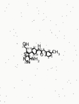 Cc1cccc(CC(=O)Nc2ccc(-c3c(CCO)sc4ncnc(N)c34)cc2)c1